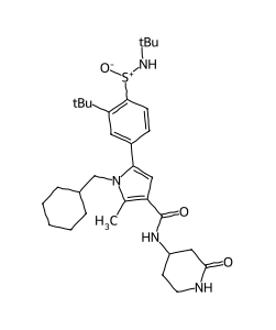 Cc1c(C(=O)NC2CCNC(=O)C2)cc(-c2ccc([S+]([O-])NC(C)(C)C)c(C(C)(C)C)c2)n1CC1CCCCC1